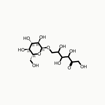 O=C(CO)C(O)C(O)C(O)CO[C@H]1O[C@H](CO)[C@@H](O)[C@H](O)[C@H]1O